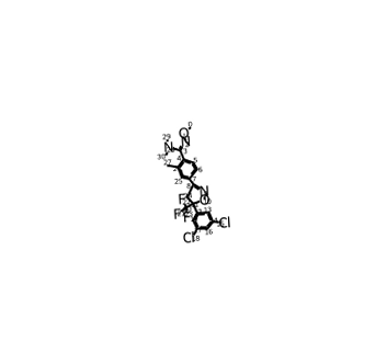 CO/N=C(/c1ccc(C2=NOC(c3cc(Cl)cc(Cl)c3)(C(F)(F)F)C2)cc1C)N(C)C